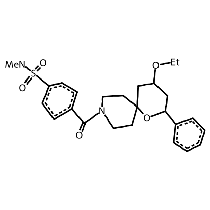 CCOC1CC(c2ccccc2)OC2(CCN(C(=O)c3ccc(S(=O)(=O)NC)cc3)CC2)C1